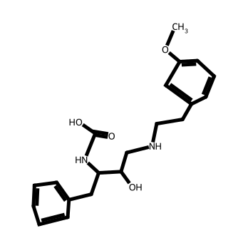 COc1cccc(CCNCC(O)C(Cc2ccccc2)NC(=O)O)c1